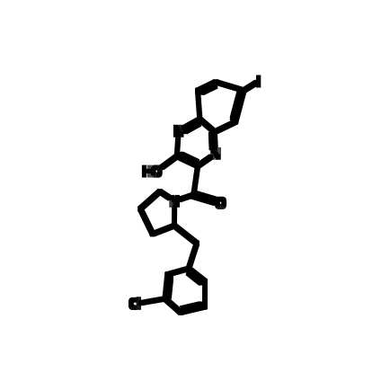 O=C(c1nc2cc(I)ccc2nc1O)N1CCCC1Cc1cccc(Cl)c1